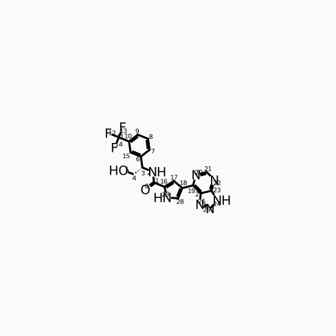 O=C(N[C@H](CO)c1cccc(C(F)(F)F)c1)c1cc(-c2ncnc3[nH]nnc23)c[nH]1